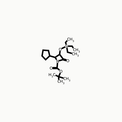 CC[Si](CC)(CC)OC1C(=O)N(C(=O)OC(C)(C)C)C1C1CCCC1